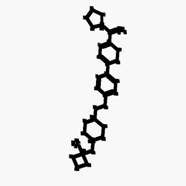 C=C(C1=CC=C(c2ccc(CCC3CCN(CC4(C(F)(F)F)CCC4)CC3)cc2)CC1)N1CCCC1